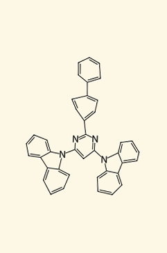 c1ccc(-c2ccc(-c3nc(-n4c5ccccc5c5ccccc54)cc(-n4c5ccccc5c5ccccc54)n3)cc2)cc1